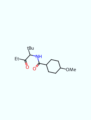 CCC(=O)C(NC(=O)C1CCC(OC)CC1)C(C)(C)C